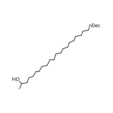 [CH2]C(O)CCCCCCCCCCCCCCCCCCCCCCCCCCCCC